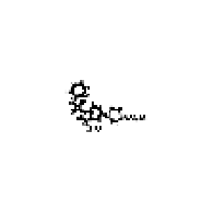 CCOC(=O)N1CCN(c2ccc3c(c2)c(C=O)cn3S(=O)(=O)Cc2ccccc2)CC1